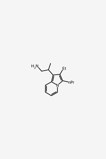 CCCc1c(CC)c(C(C)CN)c2ccccn12